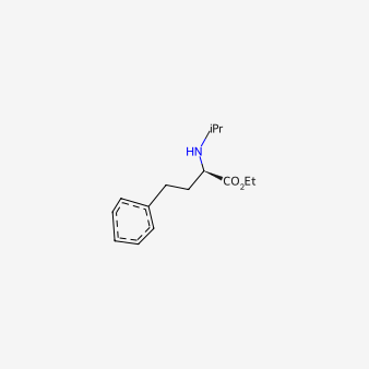 CCOC(=O)[C@@H](CCc1ccccc1)NC(C)C